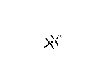 CC(C)(C)[Si](C)(C)[Si]